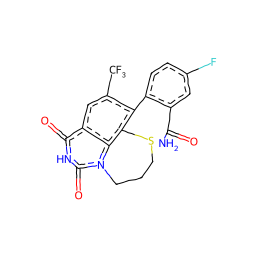 NC(=O)c1cc(F)ccc1-c1c(C(F)(F)F)cc2c(=O)[nH]c(=O)n3c2c1SCCC3